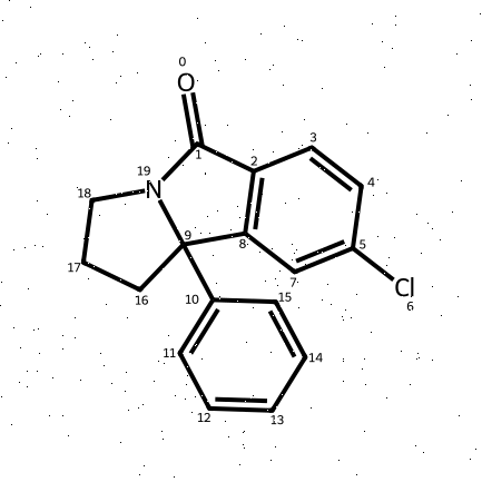 O=C1c2ccc(Cl)cc2C2(c3ccccc3)CCCN12